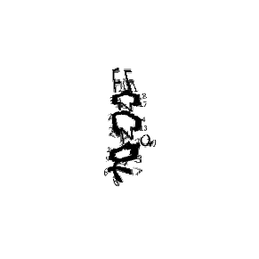 COc1cc(C(C)(C)C)ccc1N1CCC(N2CCC(F)(F)CC2)CC1